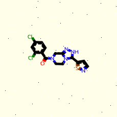 O=C(c1ccc(Cl)cc1Cl)N1CCN2C(=NNC2c2ccns2)C1